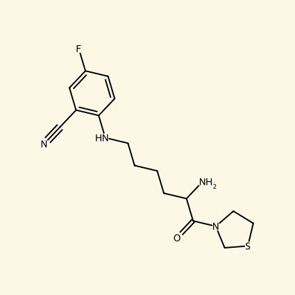 N#Cc1cc(F)ccc1NCCCCC(N)C(=O)N1CCSC1